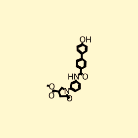 COC(=O)C1CC(=O)N(c2cccc(NC(=O)c3ccc(-c4ccc(O)cc4)cc3)c2)C1